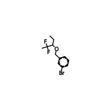 CCC(OCc1cccc(Br)c1)C(C)(F)F